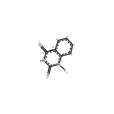 O=c1[nH]c(=O)n(F)c2ccccc12